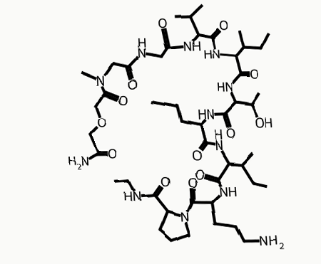 CCCC(NC(=O)C(NC(=O)C(NC(=O)C(NC(=O)CNC(=O)CN(C)C(=O)COCC(N)=O)C(C)C)C(C)CC)C(C)O)C(=O)NC(C(=O)NC(CCCN)C(=O)N1CCCC1C(=O)NCC)C(C)CC